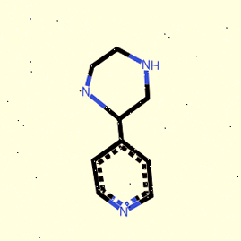 c1cc(C2CNCC[N]2)ccn1